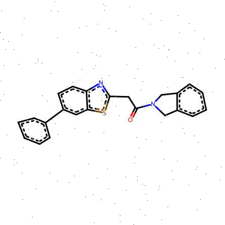 O=C(Cc1nc2ccc(-c3ccccc3)cc2s1)N1Cc2ccccc2C1